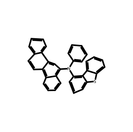 c1ccc(N(c2cc3c4ccccc4ccc3c3ccccc23)c2cccc3sc4ccccc4c23)cc1